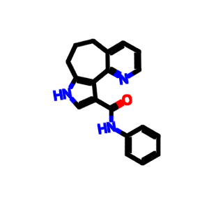 O=C(Nc1ccccc1)c1c[nH]c2c1-c1ncccc1CCC2